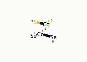 [S]=[Co]=[S].[Se]=[Co]=[Se]